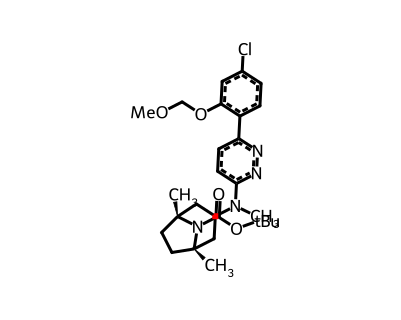 COCOc1cc(Cl)ccc1-c1ccc(N(C)C2C[C@]3(C)CC[C@](C)(C2)N3C(=O)OC(C)(C)C)nn1